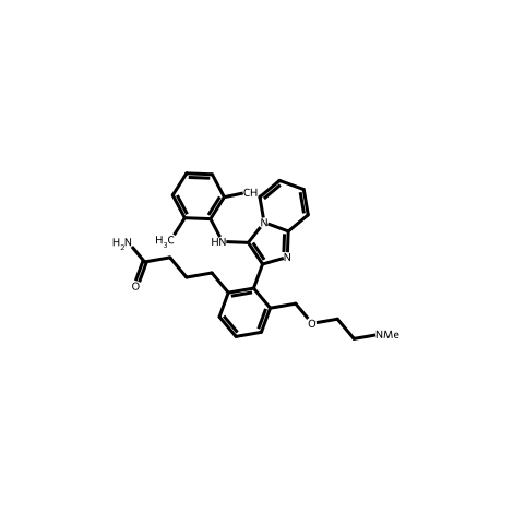 CNCCOCc1cccc(CCCC(N)=O)c1-c1nc2ccccn2c1Nc1c(C)cccc1C